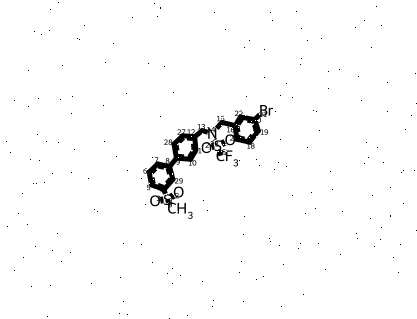 CS(=O)(=O)c1cccc(-c2ccc(CN(Cc3cccc(Br)c3)S(=O)(=O)C(F)(F)F)cc2)c1